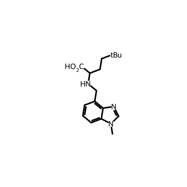 Cn1cnc2c(CNC(CCC(C)(C)C)C(=O)O)cccc21